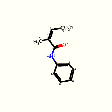 C/C(=C/C(=O)O)C(=O)Nc1ccccc1